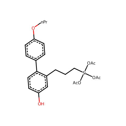 CCCOc1ccc(-c2ccc(O)cc2CCC[Si](OC(C)=O)(OC(C)=O)OC(C)=O)cc1